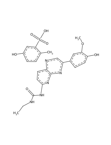 CCNC(=O)Nc1ccc2ncc(-c3ccc(O)c(OC)c3)nc2n1.Cc1ccc(O)cc1S(=O)(=O)O